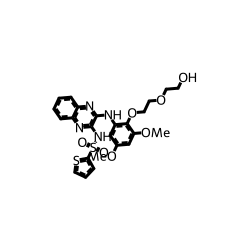 COc1cc(Nc2nc3ccccc3nc2NS(=O)(=O)c2cccs2)c(OCCOCCO)c(OC)c1